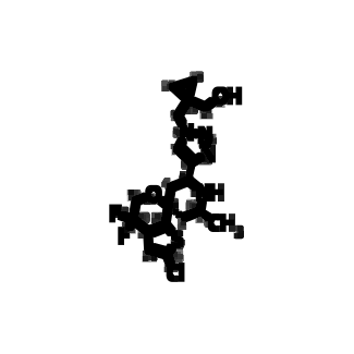 C[C@H]1C[C@@]2(C[C@@H](c3cn(CC4(CO)CC4)nn3)N1)OCC(F)(F)c1cc(Cl)sc12